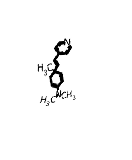 CN(C)C1=CC[C@](C)(/C=C/c2ccncc2)C=C1